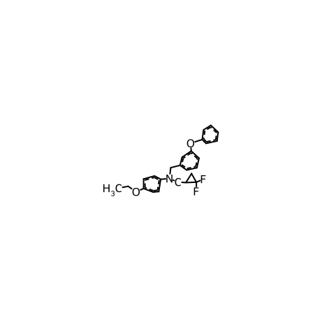 CCOc1ccc(N(Cc2cccc(Oc3ccccc3)c2)CC2CC2(F)F)cc1